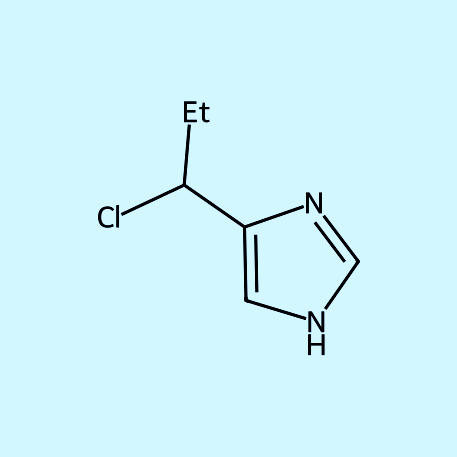 CCC(Cl)c1c[nH]cn1